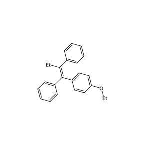 [CH2]COc1ccc(C(=C(CC)c2ccccc2)c2ccccc2)cc1